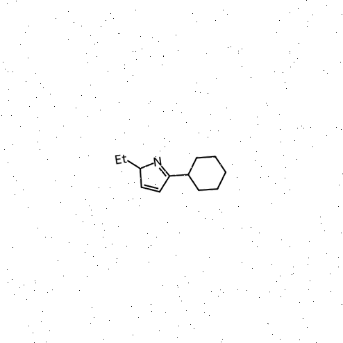 CCC1C=CC(C2CCCCC2)=N1